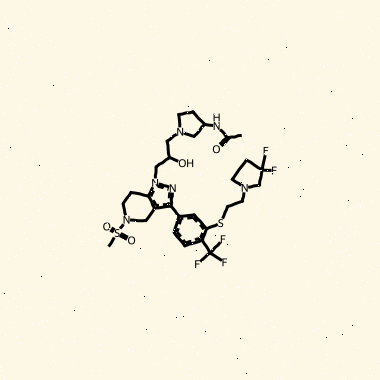 CC(=O)NC1CCN(CC(O)Cn2nc(-c3ccc(C(F)(F)F)c(SCCN4CCC(F)(F)C4)c3)c3c2CCN(S(C)(=O)=O)C3)C1